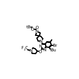 CCC(C)c1c(Br)c(C)cc2c(N3CCC4(CC3)CN(C(=O)OC(C)(C)C)C4)nc(OC3CCN(CC(F)(F)F)CC3)nc12